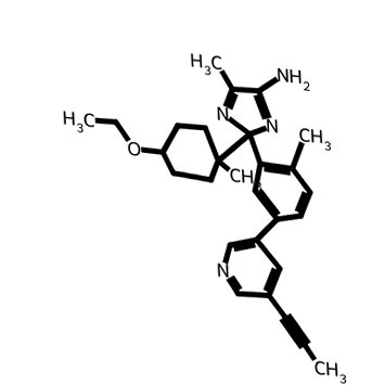 CC#Cc1cncc(-c2ccc(C)c(C3(C4(C)CCC(OCC)CC4)N=C(C)C(N)=N3)c2)c1